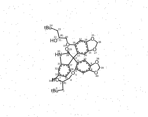 CC(C)(C)C[C@@H](O)COc1cc2c(cc1C1(c3cc4c(cc3OC[C@H](O)CC(C)(C)C)OCO4)C(=O)Nc3cc(F)ccc31)OCO2